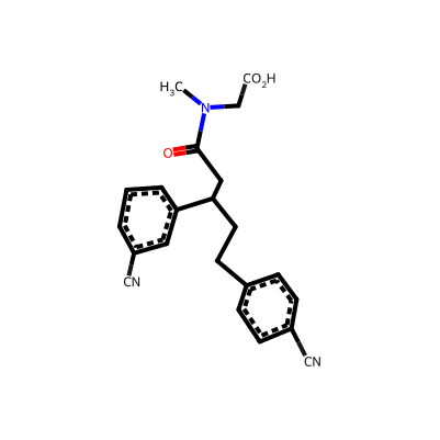 CN(CC(=O)O)C(=O)CC(CCc1ccc(C#N)cc1)c1cccc(C#N)c1